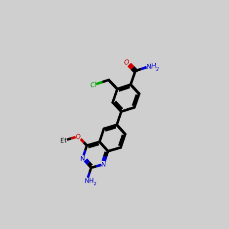 CCOc1nc(N)nc2ccc(-c3ccc(C(N)=O)c(CCl)c3)cc12